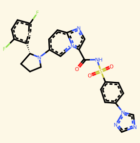 O=C(NS(=O)(=O)c1ccc(-n2cncn2)cc1)c1cnc2ccc(N3CCC[C@@H]3c3cc(F)ccc3F)cn12